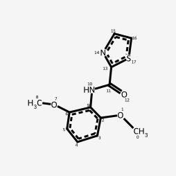 COc1cccc(OC)c1NC(=O)c1nccs1